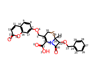 O=C(O)C1=C(COc2ccc3ccc(=O)oc3c2)CS[C@@H]2[C@@H](OCc3ccccc3)C(=O)N12